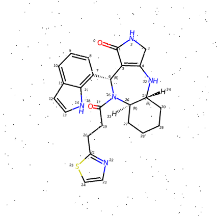 O=C1NCC2=C1[C@@H](c1cccc3cc[nH]c13)N(C(=O)CCc1nccs1)[C@@H]1CCCC[C@H]1N2